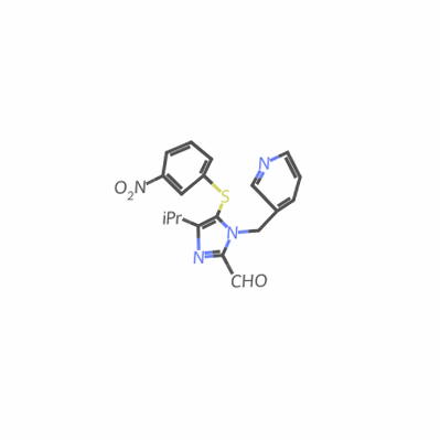 CC(C)c1nc(C=O)n(Cc2cccnc2)c1Sc1cccc([N+](=O)[O-])c1